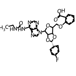 CCNC(=O)Nc1ncnc2c1ncn2C1OC(COc2ccccc2C(=O)O)C2O[C@H](c3ccc(F)cc3)OC21